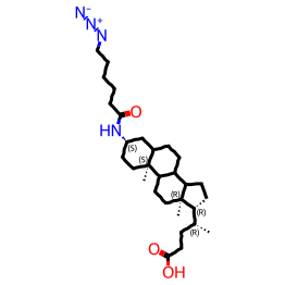 C[C@H](CCC(=O)O)[C@H]1CCC2C3CCC4C[C@@H](NC(=O)CCCCCN=[N+]=[N-])CC[C@]4(C)C3CC[C@@]21C